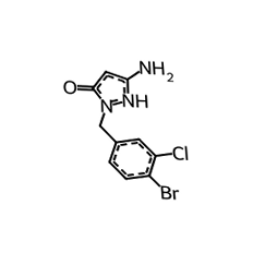 Nc1cc(=O)n(Cc2ccc(Br)c(Cl)c2)[nH]1